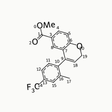 COC(=O)c1ccc2c(c1)C(c1ccc(C(F)(F)F)cc1C)=CCO2